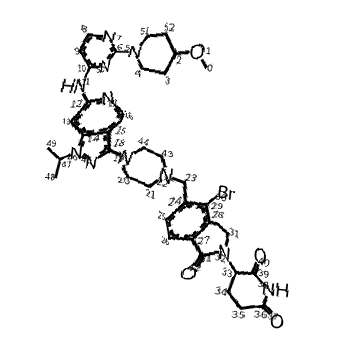 COC1CCN(c2nccc(Nc3cc4c(cn3)c(N3CCN(Cc5ccc6c(c5Br)CN(C5CCC(=O)NC5=O)C6=O)CC3)nn4C(C)C)n2)CC1